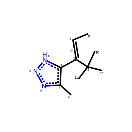 C/C=C(/c1[nH]nnc1C)C(C)(C)C